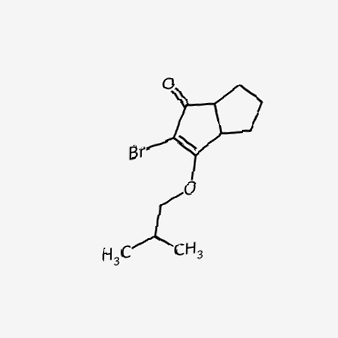 CC(C)COC1=C(Br)C(=O)C2CCCC12